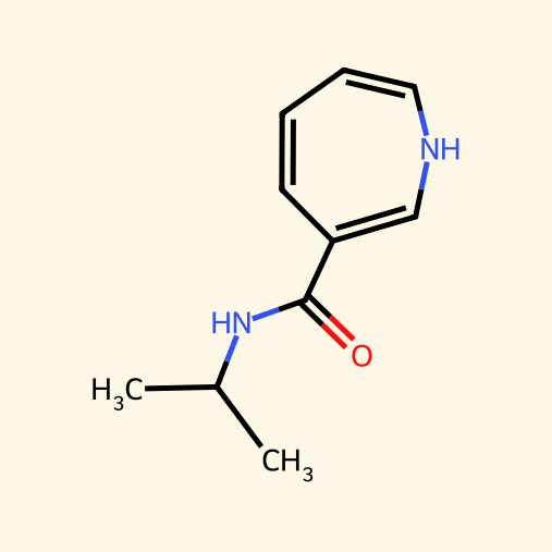 CC(C)NC(=O)C1=CNC=CC=C1